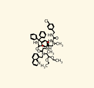 CCOC(OCC)[C@H](C)N(Cc1cccc2cccnc12)C(=O)[C@H](CC(=O)NC(c1ccccc1)(c1ccccc1)c1ccccc1)NC(=O)CN(C)NC(=O)NCc1ccc(Cl)cc1